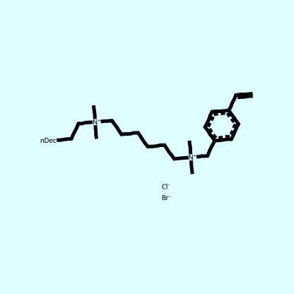 C=Cc1ccc(C[N+](C)(C)CCCCCC[N+](C)(C)CCCCCCCCCCCC)cc1.[Br-].[Cl-]